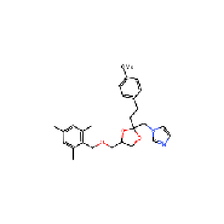 COc1ccc(CCC2(Cn3ccnc3)OCC(COCc3c(C)cc(C)cc3C)O2)cc1